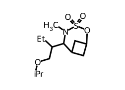 CCC(COC(C)C)C1C2CC(C2)OS(=O)(=O)N1C